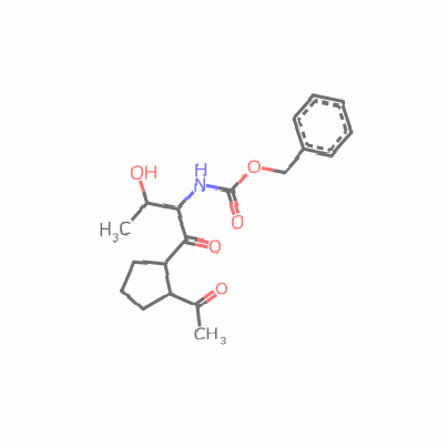 CC(=O)C1CCCC1C(=O)C(NC(=O)OCc1ccccc1)C(C)O